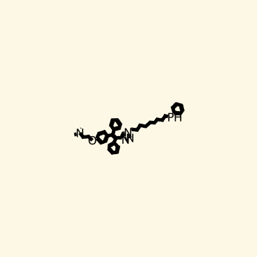 CN(C)CCOc1ccc(/C(=C(\c2ccccc2)c2cn(CCCCCCCCCPc3ccccc3)nn2)c2ccccc2)cc1